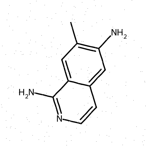 Cc1cc2c(N)nccc2cc1N